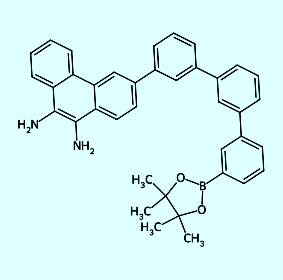 CC1(C)OB(c2cccc(-c3cccc(-c4cccc(-c5ccc6c(N)c(N)c7ccccc7c6c5)c4)c3)c2)OC1(C)C